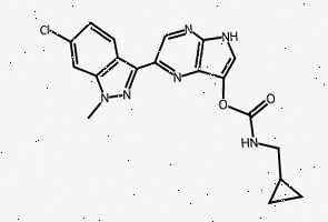 Cn1nc(-c2cnc3[nH]cc(OC(=O)NCC4CC4)c3n2)c2ccc(Cl)cc21